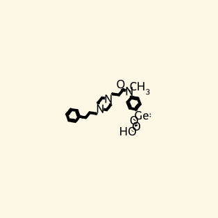 CN(C(=O)CCN1CCN(CCCc2ccccc2)CC1)c1cc[c]([Ge][O]OO)cc1